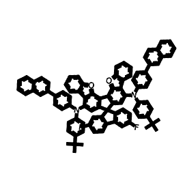 CC(C)(C)c1ccc(N(c2ccc(-c3ccc4ccccc4c3)cc2)c2cc3c(c4oc5ccccc5c24)-c2c(cc(N(c4ccc(-c5ccc6ccccc6c5)cc4)c4ccc(C(C)(C)C)cc4)c4c2oc2ccccc24)C32c3ccc(F)cc3-c3ccc(F)cc32)cc1